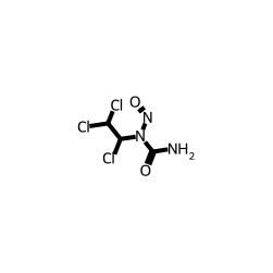 NC(=O)N(N=O)C(Cl)C(Cl)Cl